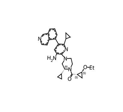 CCO[C@H]1C[C@@H]1C(=O)N1CCN(c2nc(C3CC3)c(-c3cccc4cnccc34)cc2N)C[C@H]1C1CC1